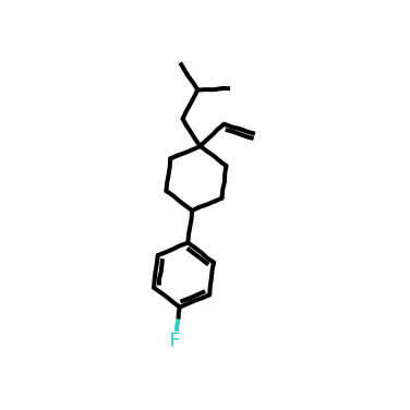 C=CC1(CC(C)C)CCC(c2ccc(F)cc2)CC1